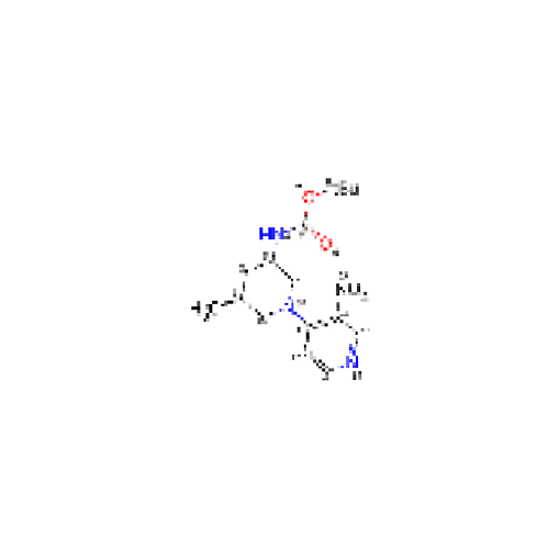 C[C@H]1CC(NC(=O)OC(C)(C)C)CN(c2ccncc2[N+](=O)[O-])C1